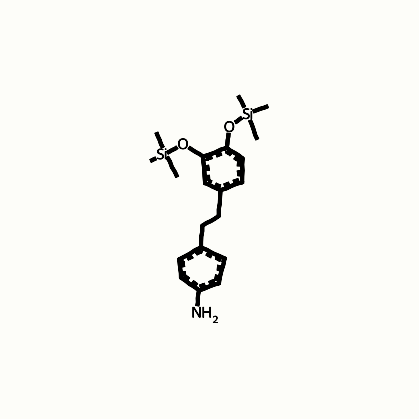 C[Si](C)(C)Oc1ccc(CCc2ccc(N)cc2)cc1O[Si](C)(C)C